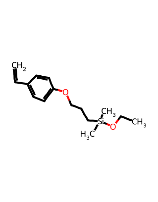 C=Cc1ccc(OCCC[Si](C)(C)OCC)cc1